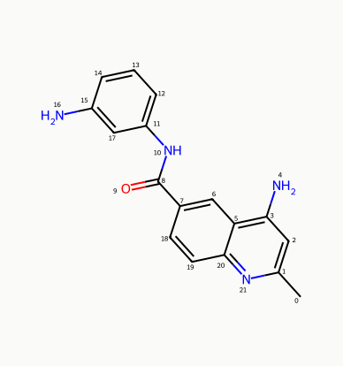 Cc1cc(N)c2cc(C(=O)Nc3cccc(N)c3)ccc2n1